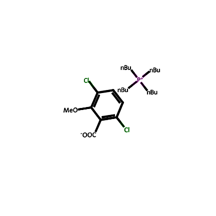 CCCC[P+](CCCC)(CCCC)CCCC.COc1c(Cl)ccc(Cl)c1C(=O)[O-]